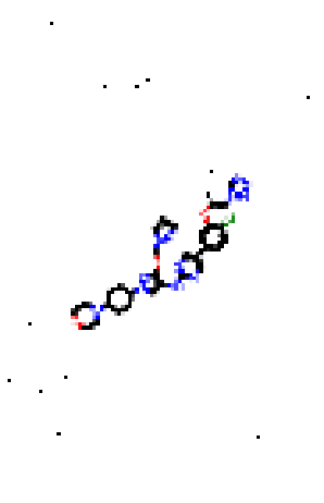 C[C@@H](Cn1cnnn1)Oc1cc(-c2cnc(Nc3cn(C4CCC(N5CCOCC5)CC4)nc3OCn3cccn3)nc2)ccc1Cl